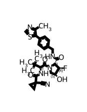 Cc1ncsc1-c1ccc(CNC(=O)[C@@H]2[C@@H](F)[C@@H](O)CN2C(=O)[C@@H](NC(=O)C2(C#N)CC2)C(C)(C)C)cc1